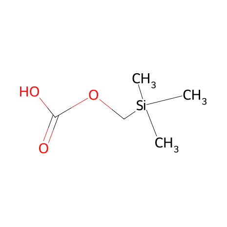 C[Si](C)(C)COC(=O)O